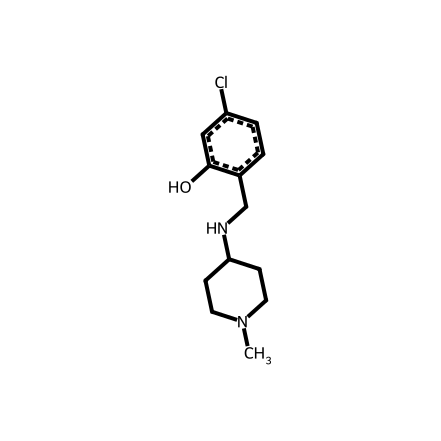 CN1CCC(NCc2ccc(Cl)cc2O)CC1